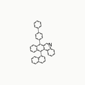 c1ccc(-c2ccc(-c3c4ccccc4c(-c4cccc5ccccc45)c4c3cnc3ccccc34)cc2)cc1